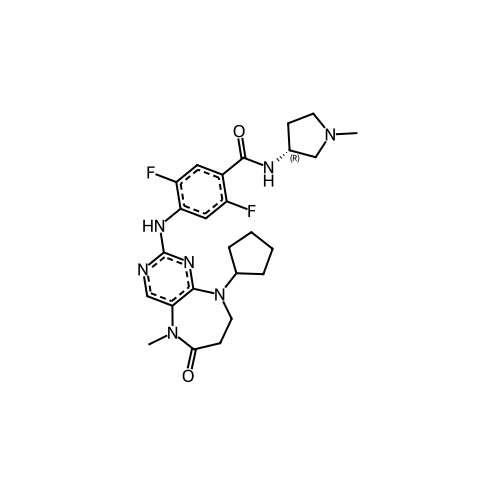 CN1CC[C@@H](NC(=O)c2cc(F)c(Nc3ncc4c(n3)N(C3CCCC3)CCC(=O)N4C)cc2F)C1